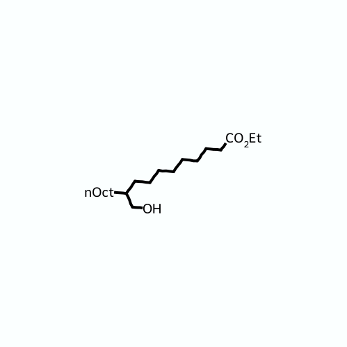 CCCCCCCCC(CO)CCCCCCCCC(=O)OCC